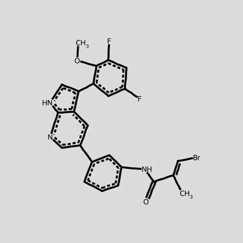 COc1c(F)cc(F)cc1-c1c[nH]c2ncc(-c3cccc(NC(=O)C(C)=CBr)c3)cc12